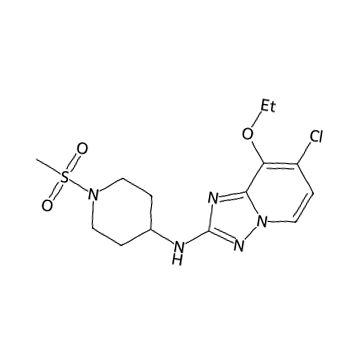 CCOc1c(Cl)ccn2nc(NC3CCN(S(C)(=O)=O)CC3)nc12